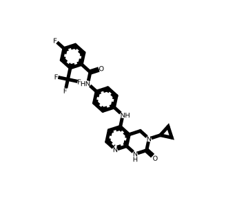 O=C(Nc1ccc(Nc2ccnc3c2CN(C2CC2)C(=O)N3)cc1)c1ccc(F)cc1C(F)(F)F